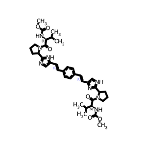 COC(=O)N[C@H](C(=O)N1CCCC1c1nc(/C=C/c2ccc(/C=C/c3cnc(C4CCCN4C(=O)[C@@H](NC(=O)OC)C(C)C)[nH]3)cc2)c[nH]1)C(C)C